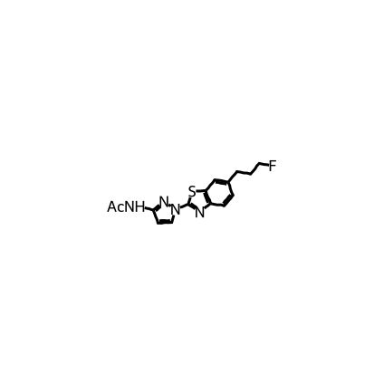 CC(=O)Nc1ccn(-c2nc3ccc(CCCF)cc3s2)n1